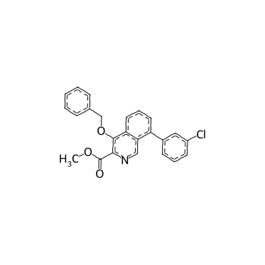 COC(=O)c1ncc2c(-c3cccc(Cl)c3)cccc2c1OCc1ccccc1